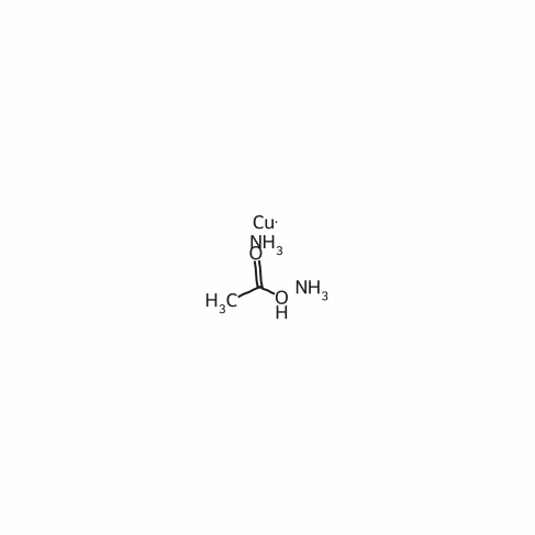 CC(=O)O.N.N.[Cu]